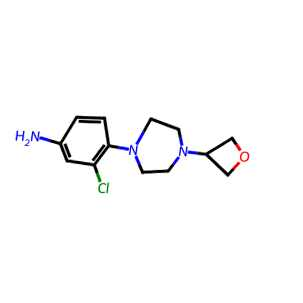 Nc1ccc(N2CCN(C3COC3)CC2)c(Cl)c1